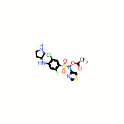 O=C(ON(c1cscn1)S(=O)(=O)c1cc(Cl)c(N[C@@H]2CCNC2)cc1F)C(F)(F)F